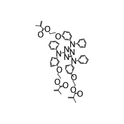 C=C(C)C(=O)OCCOc1cccc(N(c2ccccc2)c2nc(N(c3ccccc3)c3cccc(OCCOC(=O)C(=C)C)c3)nc(N(c3ccccc3)c3cccc(OCCOC(=O)C(=C)C)c3)n2)c1